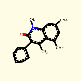 COc1cc(OC)c2c(C)c(-c3ccccc3)c(=O)n(C)c2c1